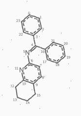 c1ccc(C(=Nc2ccc3c(n2)CCCC3)c2ccccc2)cc1